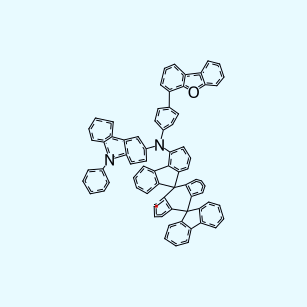 c1ccc(-n2c3ccccc3c3cc(N(c4ccc(-c5cccc6c5oc5ccccc56)cc4)c4cccc5c4-c4ccccc4C54c5ccccc5C5(c6ccccc6-c6ccccc65)c5ccccc54)ccc32)cc1